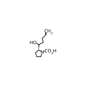 C=CCCC(O)[C@@H]1CCCN1C(=O)O